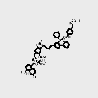 COc1cc2c(cc1CNC[C@H](O[Si](C)(C)C(C)(C)C)c1ccc(O)c3[nH]c(=O)ccc13)oc(=O)n2CC/C=C/c1ccc(-c2ccccc2)c(N(C(=O)ONc2ccc(CNC(=O)O)cc2)C2CCCCC2)c1